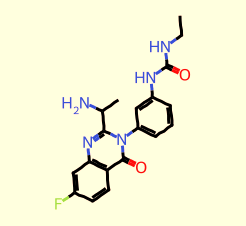 CCNC(=O)Nc1cccc(-n2c(C(C)N)nc3cc(F)ccc3c2=O)c1